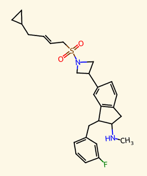 CNC1Cc2ccc(C3CN(S(=O)(=O)CC=CCC4CC4)C3)cc2C1Cc1cccc(F)c1